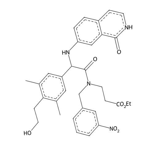 CCOC(=O)CCN(Cc1cccc([N+](=O)[O-])c1)C(=O)C(Nc1ccc2cc[nH]c(=O)c2c1)c1cc(C)c(CCO)c(C)c1